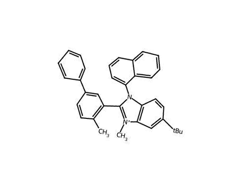 Cc1ccc(-c2ccccc2)cc1-c1n(-c2cccc3ccccc23)c2ccc(C(C)(C)C)cc2[n+]1C